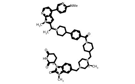 CNc1ccc(-c2ccnc3c2cc([C@H](C)N2CCC(c4ccc(C(=O)N5CCC(CN6CCN(Cc7ccc8c(c7)n(C)c(=O)n8[C@@H]7CCC(=O)NC7=O)C[C@@H]6C)CC5)cc4)CC2)n3C)cn1